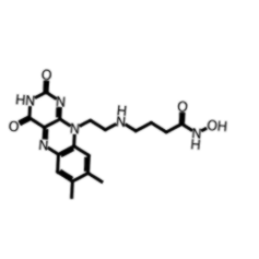 Cc1cc2nc3c(=O)[nH]c(=O)nc-3n(CCNCCCC(=O)NO)c2cc1C